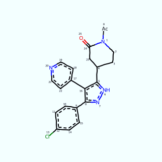 CC(=O)N1CCC(c2[nH]nc(-c3ccc(Cl)cc3)c2-c2ccncc2)CC1=O